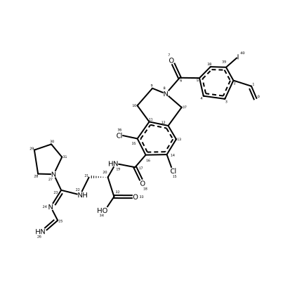 C=Cc1ccc(C(=O)N2CCc3c(cc(Cl)c(C(=O)N[C@@H](CN/C(=N\C=N)N4CCCC4)C(=O)O)c3Cl)C2)cc1I